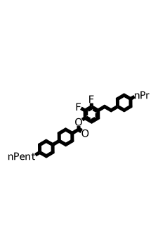 CCCCCC1CCC(C2CCC(C(=O)Oc3ccc(CCC4CCC(CCC)CC4)c(F)c3F)CC2)CC1